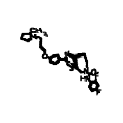 CC1CCCN1CCCOc1ccc(-c2nc3c(s2)CN(C(=O)Nc2ccc(F)cc2F)CC3)cc1